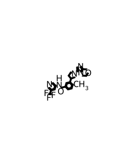 Cc1ccc(C(=O)Nc2cncc(C(F)(F)F)c2)cc1C1CCN(c2cnc3n2CCOC3)C1